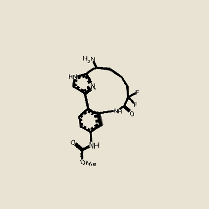 COC(=O)Nc1ccc2c(c1)NC(=O)C(F)(F)CCCC(N)c1nc-2c[nH]1